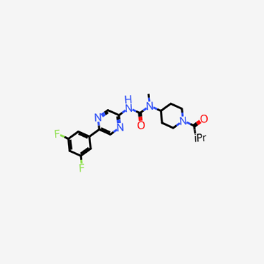 CC(C)C(=O)N1CCC(N(C)C(=O)Nc2cnc(-c3cc(F)cc(F)c3)cn2)CC1